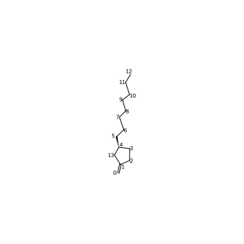 C=C1CC[C@H](CCCCCCCC)C1